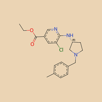 CCOC(=O)c1cnc(N[C@@H]2CCN(Cc3ccc(C)cc3)C2)c(Cl)c1